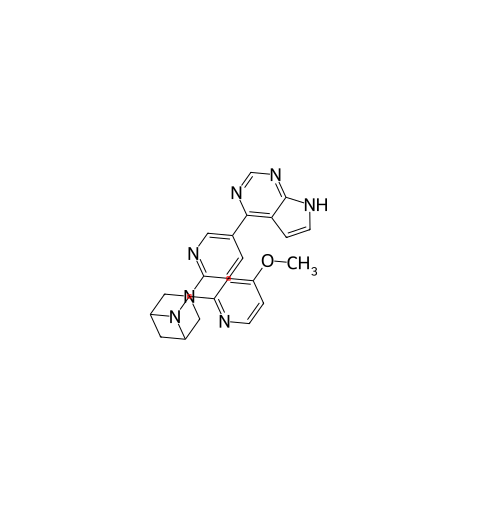 COc1ccnc(CN2C3CC2CN(c2ccc(-c4ncnc5[nH]ccc45)cn2)C3)c1